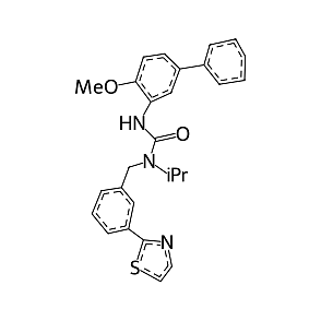 COc1ccc(-c2ccccc2)cc1NC(=O)N(Cc1cccc(-c2nccs2)c1)C(C)C